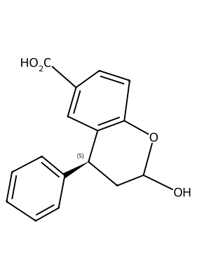 O=C(O)c1ccc2c(c1)[C@H](c1ccccc1)CC(O)O2